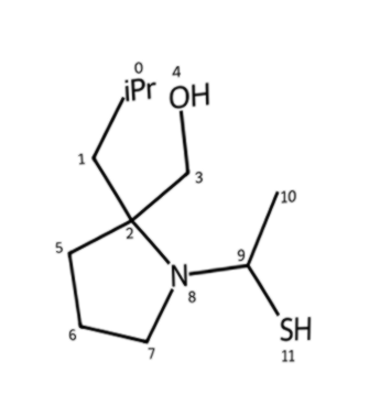 CC(C)CC1(CO)CCCN1C(C)S